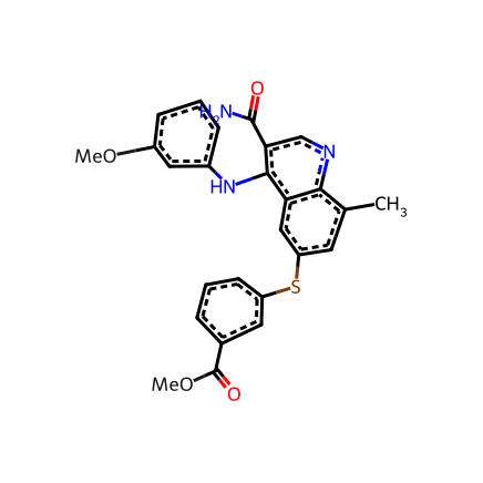 COC(=O)c1cccc(Sc2cc(C)c3ncc(C(N)=O)c(Nc4cccc(OC)c4)c3c2)c1